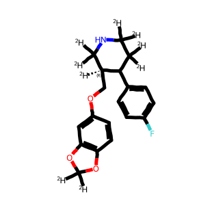 [2H]C1([2H])Oc2ccc(OC[C@]3([2H])C(c4ccc(F)cc4)C([2H])([2H])C([2H])([2H])NC3([2H])[2H])cc2O1